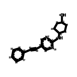 OC1CCC(Nc2ncc(C#Cc3ccccc3)cn2)CC1